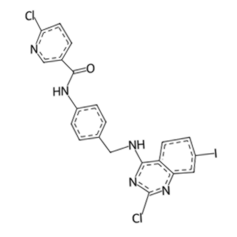 O=C(Nc1ccc(CNc2nc(Cl)nc3cc(I)ccc23)cc1)c1ccc(Cl)nc1